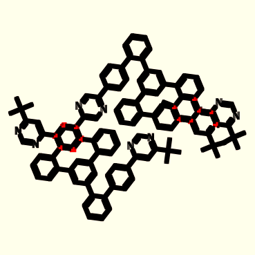 C=C(/C=C\C(=C/C)c1cc(C(C)(C)C)ncn1)c1ccccc1-c1cc(-c2ccccc2-c2ccc(-c3cnc(-c4ccc(-c5ccccc5-c5cc(-c6ccccc6-c6ccc(-c7cc(C(C)(C)C)ncn7)cc6)cc(-c6ccccc6-c6ccc(-c7cc(C(C)(C)C)ncn7)cc6)c5)cc4)cn3)cc2)cc(-c2ccccc2-c2ccc(-c3cc(C(C)(C)C)ncn3)cc2)c1